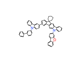 c1ccc(-c2cccc(-n3c4ccccc4c4cc(-c5ccc6c(c5)-c5cc7c(cc5C65CCCCC5)c5ccccc5n7-c5ccc6c(c5)oc5ccccc56)ccc43)c2)cc1